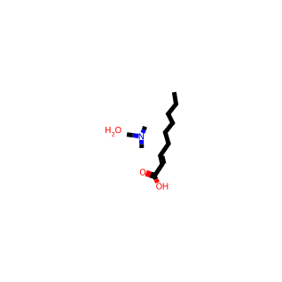 CCCCCCC=CC(=O)O.CN(C)C.O